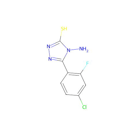 Nn1c(S)nnc1-c1ccc(Cl)cc1F